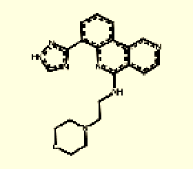 c1cc(-c2nc[nH]n2)c2nc(NCCN3CCOCC3)c3ccncc3c2c1